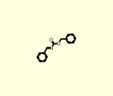 O=C(N=Cc1ccccc1)OCc1ccccc1